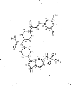 CS(=O)(=O)Nc1ccc2[nH]cc(C3CCN(C(C(=O)O)C4CCN(C(=O)C=Cc5cc(F)cc(F)c5)CC4)CC3)c2c1